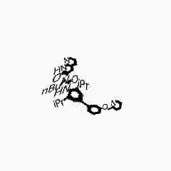 CCCCN(C(=O)Nc1c(C(C)C)cc(-c2cccc(OCc3ccccn3)c2)cc1C(C)C)c1cc2cccnc2[nH]c1=O